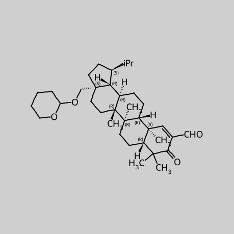 CC(C)[C@@H]1CC[C@]2(COC3CCCCO3)CC[C@]3(C)[C@H](CC[C@@H]4[C@@]5(C)C=C(C=O)C(=O)C(C)(C)[C@@H]5CC[C@]43C)[C@@H]12